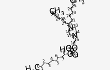 CCCCCCCCCOP(=O)(O)OCCN1CCN(C(CCCCCC)CCCCCC)CC1